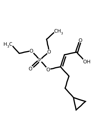 CCOP(=O)(OCC)OC(=CC(=O)O)CCC1CC1